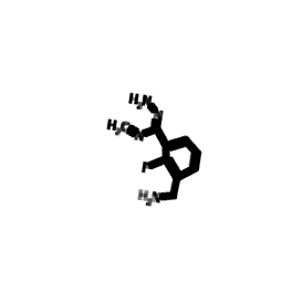 C=N/C(=N\N)c1cccc(CN)c1F